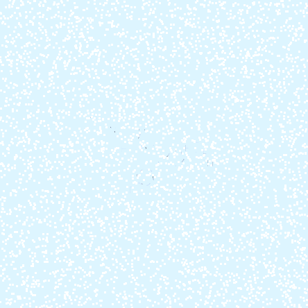 CC(F)(c1ccc2c(c1)CC[C@H]1N(C(=O)C3(O)CCN(C4COC4)CC3)CC[C@@]21Cc1ccc(F)cc1)C(F)(F)F